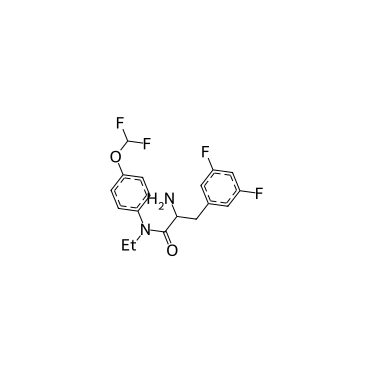 CCN(C(=O)C(N)Cc1cc(F)cc(F)c1)c1ccc(OC(F)F)cc1